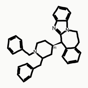 c1ccc(CC2C[C@H](C3c4ccccc4CCn4c3nc3ccccc34)CCN2Cc2ccccc2)cc1